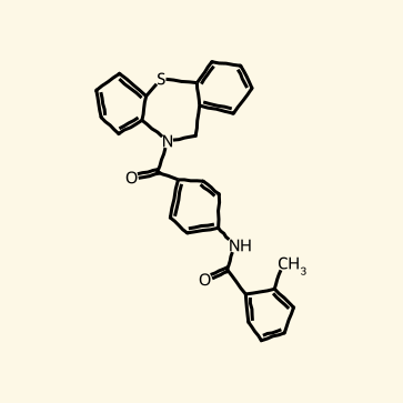 Cc1ccccc1C(=O)Nc1ccc(C(=O)N2Cc3ccccc3Sc3ccccc32)cc1